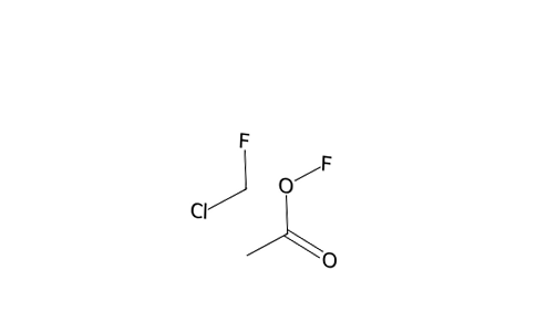 CC(=O)OF.FCCl